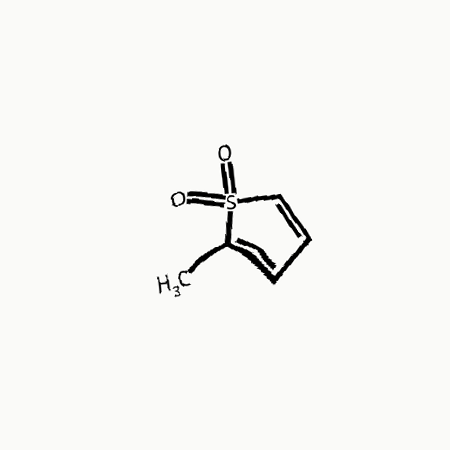 CC1=CC=CS1(=O)=O